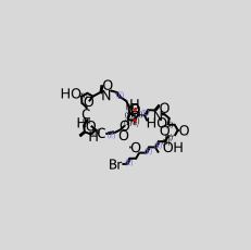 C=C1C[C@@H]2CC3C[C@@H](O)CC(O3)c3coc(n3)/C=C/C[C@H]3O[C@@H](/C(C)=C/c4coc(C[C@]5(O)CC(OC)C[C@H]([C@H](O)/C=C(C)/C=C/C(C/C=C/Br)OC)O5)n4)[C@H](C)[C@@H](OC(=O)/C=C\C[C@@H](C1)O2)[C@H]3C